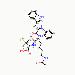 CC(=O)NCCCC[C@H](NC(=O)[C@H](Cc1c[nH]c2ccccc12)Nc1ccccc1)C(=O)N[C@H](C(=O)O)C(C)(C)S